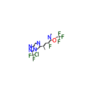 C=N/C(OCC(F)(F)F)=C(F)\C=C(/C)c1cn2c(C(F)(F)Cl)nnc2cn1